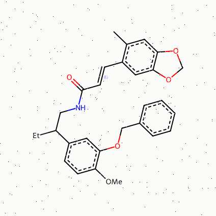 CCC(CNC(=O)/C=C/c1cc2c(cc1C)OCO2)c1ccc(OC)c(OCc2ccccc2)c1